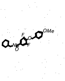 COc1ccc(COc2c(F)cc(C(=O)NCC3CCCCC3)cc2F)cc1